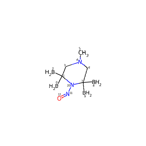 BC1(B)CN(C)CC(B)(B)N1N=O